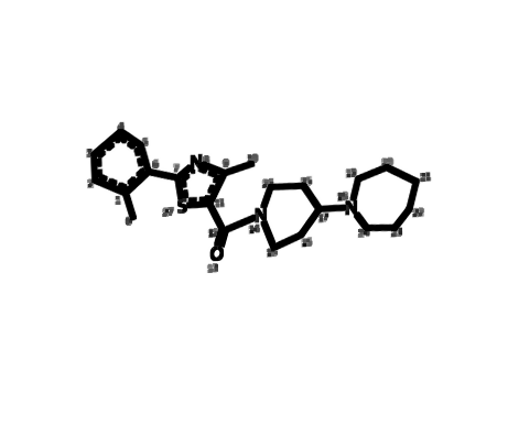 Cc1ccccc1-c1nc(C)c(C(=O)N2CCC(N3CCCCCC3)CC2)s1